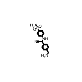 N#CC(Nc1ccc(S(N)(=O)=O)cc1)c1ccc(CN)cc1